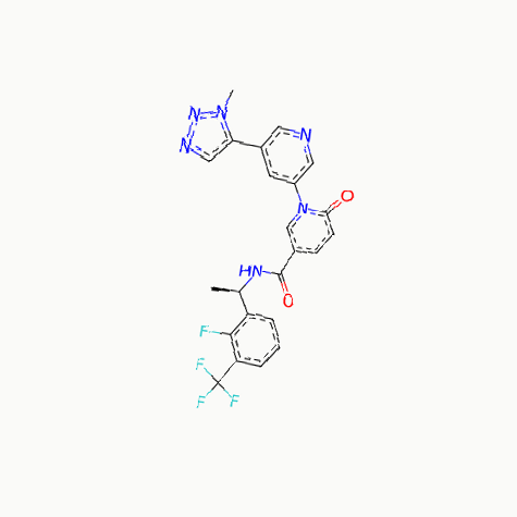 C[C@@H](NC(=O)c1ccc(=O)n(-c2cncc(-c3cnnn3C)c2)c1)c1cccc(C(F)(F)F)c1F